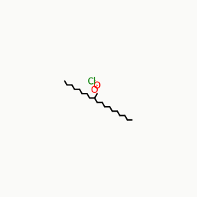 CCCCCCCCCCC(CCCCCCCC)COOCl